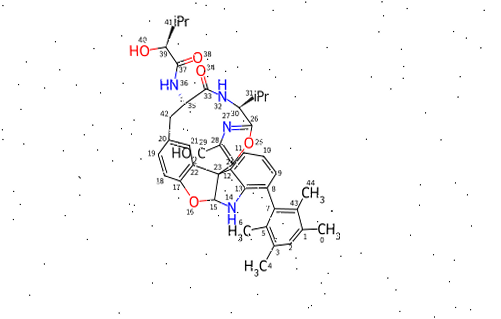 Cc1cc(C)c(C)c(-c2cccc3c2NC2Oc4ccc5cc4C32c2oc(nc2C(=O)O)[C@H](C(C)C)NC(=O)[C@@H](NC(=O)[C@@H](O)C(C)C)C5)c1C